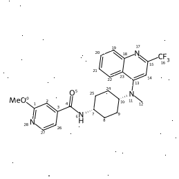 COc1cc(C(=O)N[C@H]2CC[C@@H](N(C)c3cc(C(F)(F)F)nc4ccccc34)CC2)ccn1